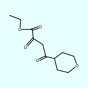 CCOC(=O)C(=O)CC(=O)C1CCOCC1